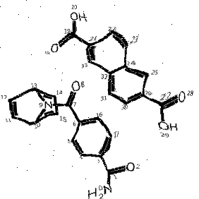 NC(=O)c1ccc(C(=O)n2c3ccc2cc3)cc1.O=C(O)c1ccc2cc(C(=O)O)ccc2c1